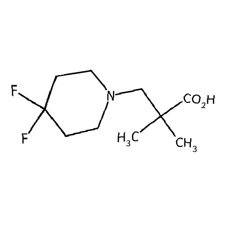 CC(C)(CN1CCC(F)(F)CC1)C(=O)O